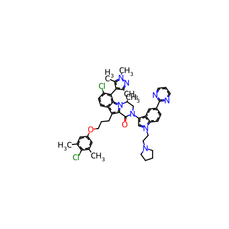 Cc1cc(OCCCc2c3n(c4c(-c5c(C)nn(C)c5C)c(Cl)ccc24)C(C)CN(c2cn(CCN4CCCC4)c4ccc(-c5ncccn5)cc24)C3=O)cc(C)c1Cl